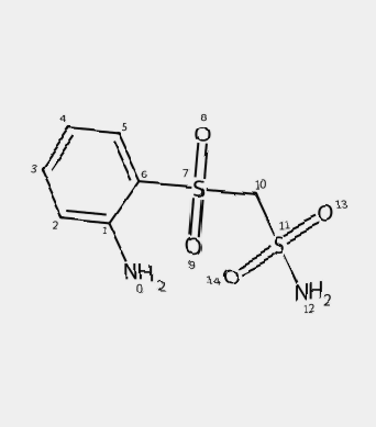 Nc1ccccc1S(=O)(=O)CS(N)(=O)=O